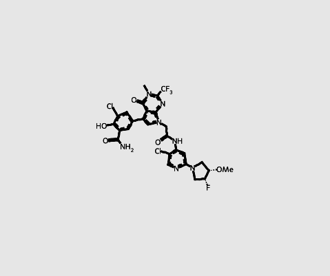 CO[C@H]1CN(c2cc(NC(=O)Cn3cc(-c4cc(Cl)c(O)c(C(N)=O)c4)c4c(=O)n(C)c(C(F)(F)F)nc43)c(Cl)cn2)C[C@H]1F